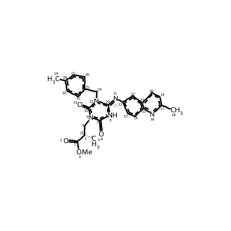 COC(=O)[C@@H](C)Cn1c(=O)[nH]/c(=N\c2ccc3nc(C)ccc3c2)n(Cc2ccc(C)cc2)c1=O